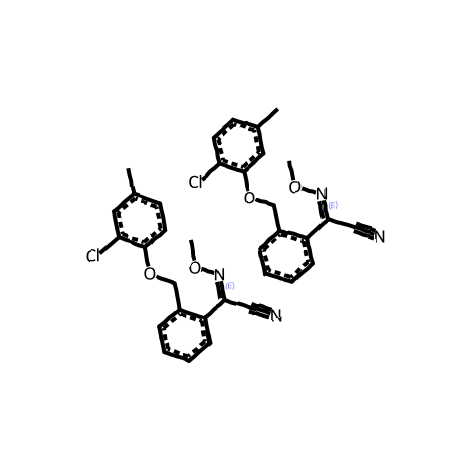 CO/N=C(/C#N)c1ccccc1COc1cc(C)ccc1Cl.CO/N=C(/C#N)c1ccccc1COc1ccc(C)cc1Cl